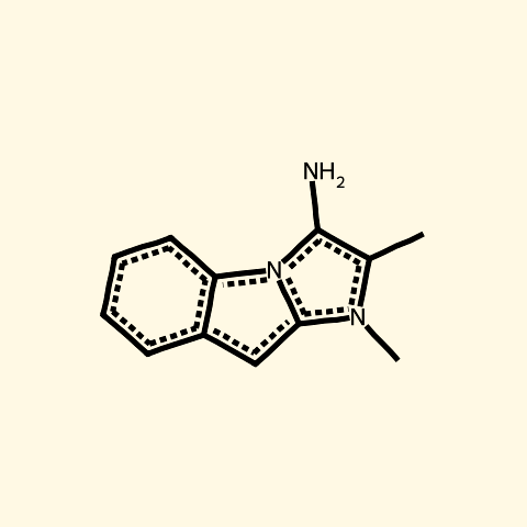 Cc1c(N)n2c3ccccc3cc2n1C